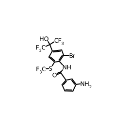 Nc1cccc(C(=O)Nc2c(Br)cc(C(O)(C(F)(F)F)C(F)(F)F)cc2SC(F)(F)F)c1